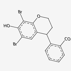 O=C(O)c1ccccc1C1CCOc2c1cc(Br)c(O)c2Br